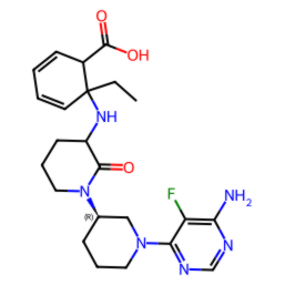 CCC1(NC2CCCN([C@@H]3CCCN(c4ncnc(N)c4F)C3)C2=O)C=CC=CC1C(=O)O